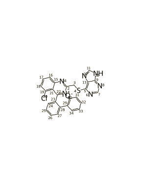 [O-][n+]1c(CSc2ncnc3[nH]cnc23)nc2cccc(Cl)c2c1-c1ccccc1-c1ccccc1